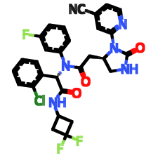 N#Cc1ccnc(N2C(=O)NC[C@H]2CC(=O)N(c2cccc(F)c2)[C@H](C(=O)NC2CC(F)(F)C2)c2ccccc2Cl)c1